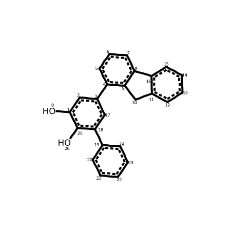 Oc1cc(-c2cccc3c2Cc2ccccc2-3)cc(-c2ccccc2)c1O